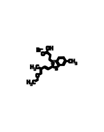 CCOC=C(C)C=Cc1sc2cc(C)ccc2[n+]1CCC(=O)O.[Br-]